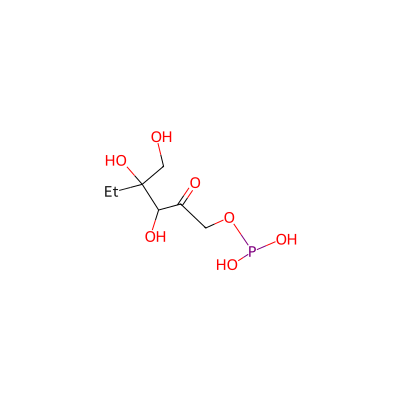 CCC(O)(CO)C(O)C(=O)COP(O)O